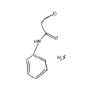 O=C(CCl)Nc1ccccc1.S